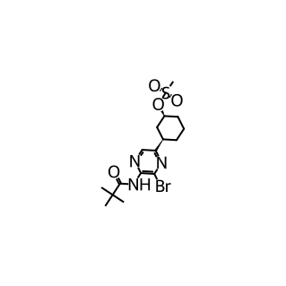 CC(C)(C)C(=O)Nc1ncc([C@@H]2CCC[C@H](OS(C)(=O)=O)C2)nc1Br